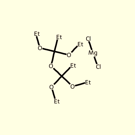 CCOC(CC)(OCC)OC(CC)(OCC)OCC.[Cl][Mg][Cl]